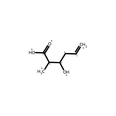 C=CCC(O)C(C)C(=O)O